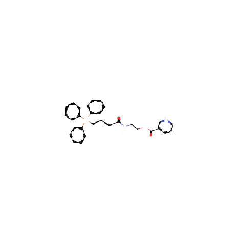 O=C(CCC[P+](c1ccccc1)(c1ccccc1)c1ccccc1)NCCOC(=O)c1cccnc1